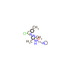 Cc1ccc2c(c1)CC(Cl)CN2c1cc(C)c(NC(=O)CCCN2CCCCC2)c(C)n1